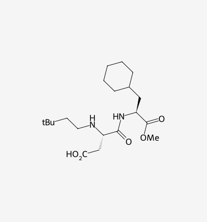 COC(=O)[C@H](CC1CCCCC1)NC(=O)[C@H](CC(=O)O)NCCC(C)(C)C